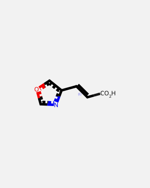 O=C(O)/C=C/c1cocn1